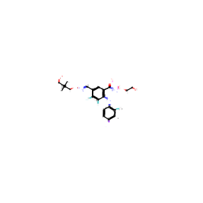 CC(C)(CO)CO/N=C/c1cc(C(=O)NOCCO)c(Nc2ccc(I)cc2F)c(F)c1F